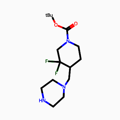 CC(C)(C)OC(=O)N1CCC(CN2CCNCC2)C(F)(F)C1